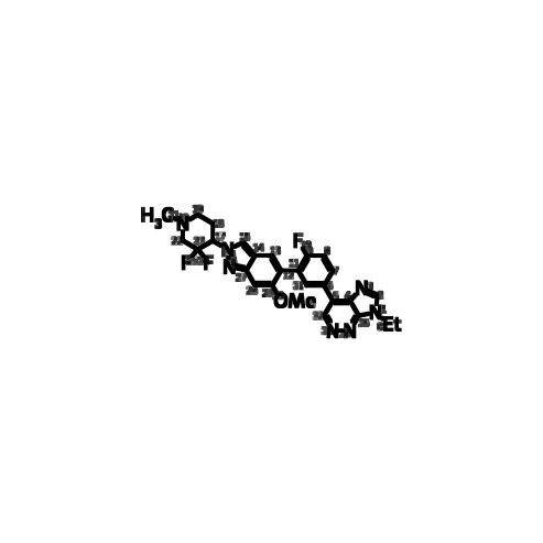 CCn1cnc2c(-c3ccc(F)c(-c4cc5cn(C6CCN(C)CC6(F)F)nc5cc4OC)c3)cnnc21